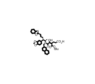 C[C@H]([C@H](C/C=C/c1nc2ccccc2o1)c1ccc2c(c1)OCO2)N(Cc1ccc2ccccc2c1)C(=O)C(O)=C(CCC(=O)O)C(=O)OC(C)(C)C